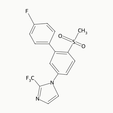 CS(=O)(=O)c1ccc(-n2ccnc2C(F)(F)F)cc1-c1ccc(F)cc1